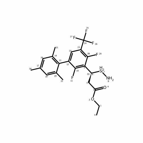 CCOC(=O)C[C@H]([SiH2]N)c1c(F)c(-c2c(C)cc(C)cc2C)cc(C(F)(F)F)c1F